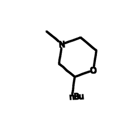 CCCCC1CN(C)CCO1